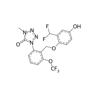 Cn1nnn(-c2cccc(OC(F)(F)F)c2COc2ccc(O)cc2C(F)F)c1=O